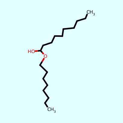 CCCCCCCCCC(O)OCCCCCCCC